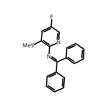 CSc1cc(F)cnc1N=C(c1ccccc1)c1ccccc1